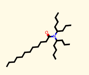 CCCCCCCCCCCC(=O)N(C(CCC)CCCC)C(CCC)CCCC